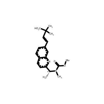 C[C@H](c1ccc2ccc(/C=C/C(C)(C)C(=O)O)cc2n1)N(C)C(=O)OC(C)(C)C